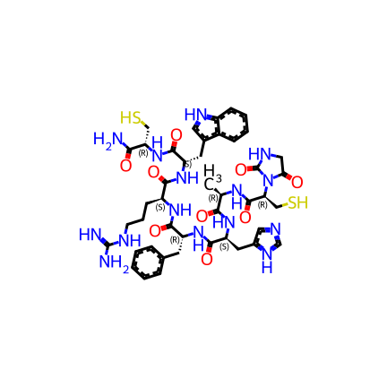 C[C@@H](NC(=O)[C@H](CS)N1C(=O)CNC1=O)C(=O)N[C@@H](Cc1cnc[nH]1)C(=O)N[C@H](Cc1ccccc1)C(=O)N[C@@H](CCCNC(=N)N)C(=O)N[C@@H](Cc1c[nH]c2ccccc12)C(=O)N[C@@H](CS)C(N)=O